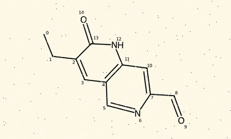 CCc1cc2cnc(C=O)cc2[nH]c1=O